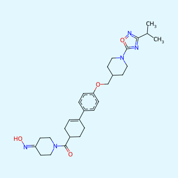 CC(C)c1noc(N2CCC(COc3ccc(C4=CCC(C(=O)N5CCC(=NO)CC5)CC4)cc3)CC2)n1